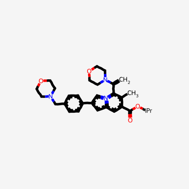 C=C(c1c(C)c(C(=O)OC(C)C)cc2cc(-c3ccc(CN4CCOCC4)cc3)cn12)N1CCOCC1